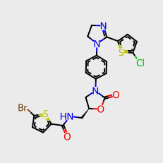 O=C(NC[C@H]1CN(c2ccc(N3CCN=C3c3ccc(Cl)s3)cc2)C(=O)O1)c1ccc(Br)s1